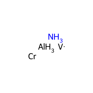 N.[AlH3].[Cr].[V]